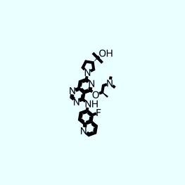 C[C@H](CN(C)C)Oc1nc(N2CC[C@H](C(C)(C)O)C2)cc2ncnc(Nc3ccc4ncccc4c3F)c12